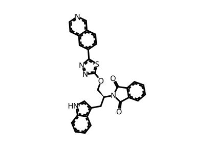 O=C1c2ccccc2C(=O)N1[C@H](COc1nnc(-c2ccc3cnccc3c2)s1)Cc1c[nH]c2ccccc12